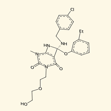 CCc1cccc(O[C@]2(NCc3ccc(Cl)cc3)Nc3c2c(=O)n(CCOCCO)c(=O)n3C)c1